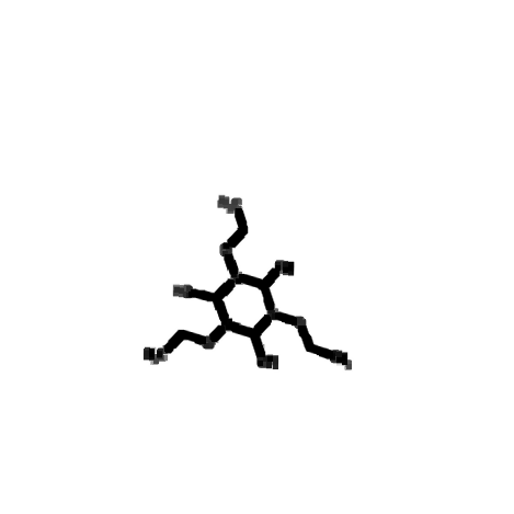 CCON1C(O)N(OCC)C(O)N(OCC)C1O